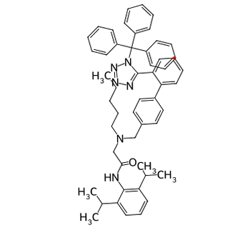 CCCCCN(CC(=O)Nc1c(C(C)C)cccc1C(C)C)Cc1ccc(-c2ccccc2-c2nnnn2C(c2ccccc2)(c2ccccc2)c2ccccc2)cc1